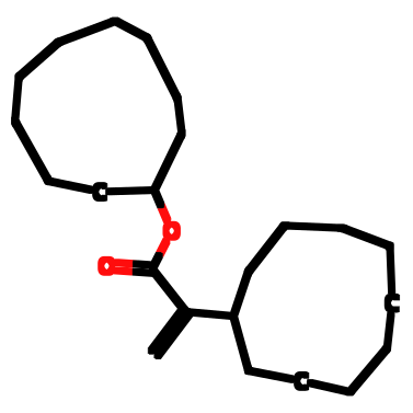 C=C(C(=O)OC1CCCCCCCCC1)C1CCCCCCCCC1